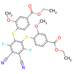 CCOC(=O)c1ccc(Sc2c(F)c(C#N)c(C#N)c(F)c2Sc2ccc(C(=O)OCC)cc2OC)c(OC)c1